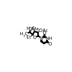 CC[C@]1(C(C)OC)OC(n2ccc(=O)[nH]c2=O)[C@H](OC(C)=O)[C@@H]1C